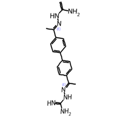 C=C(N)N/N=C(\C)c1ccc(-c2ccc(/C(C)=N/NC(=N)N)cc2)cc1